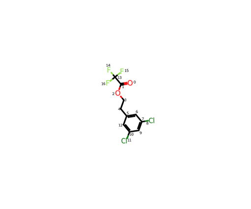 O=C(OCCc1cc(Cl)cc(Cl)c1)C(F)(F)F